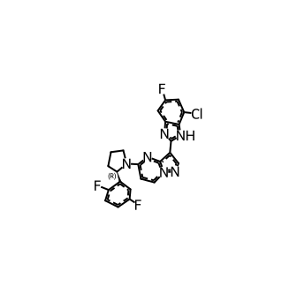 Fc1ccc(F)c([C@H]2CCCN2c2ccn3ncc(-c4nc5cc(F)cc(Cl)c5[nH]4)c3n2)c1